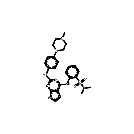 CN1CCN(c2ccc(Nc3nc(Nc4ccccc4S(=O)(=O)N(C)C)c4cc[nH]c4n3)cc2)CC1